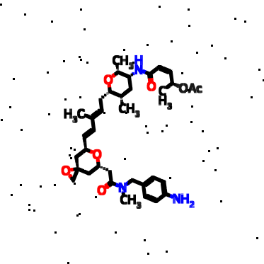 CC(=O)O[C@@H](C)/C=C\C(=O)N[C@@H]1C[C@H](C)[C@H](C/C=C(C)/C=C/[C@@H]2C[C@]3(CO3)C[C@@H](CC(=O)N(C)Cc3ccc(N)cc3)O2)O[C@@H]1C